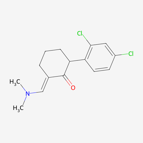 CN(C)/C=C1\CCCC(c2ccc(Cl)cc2Cl)C1=O